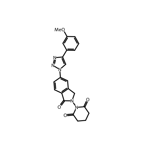 COc1cccc(-c2cn(-c3ccc4c(c3)CN(N3C(=O)CCCC3=O)C4=O)nn2)c1